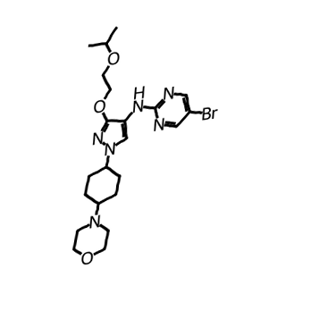 CC(C)OCCOc1nn(C2CCC(N3CCOCC3)CC2)cc1Nc1ncc(Br)cn1